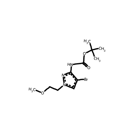 COCCn1cc(Br)c(NC(=O)OC(C)(C)C)n1